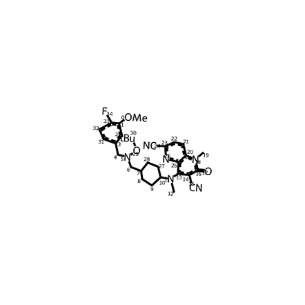 COc1cc(CN(CC2CCC(N(C)c3c(C#N)c(=O)n(C)c4ccc(C#N)nc34)CC2)OC(C)(C)C)ccc1F